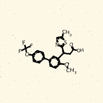 COc1ccc(-c2ccc(OC(F)(F)F)cc2)cc1C(CC(=O)O)c1ncc(C)s1